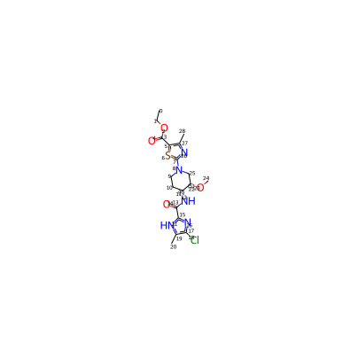 CCOC(=O)c1sc(N2CC[C@@H](NC(=O)c3nc(Cl)c(C)[nH]3)[C@@H](OC)C2)nc1C